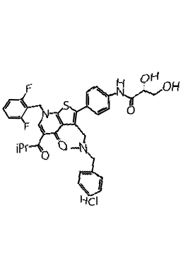 CC(C)C(=O)c1cn(Cc2c(F)cccc2F)c2sc(-c3ccc(NC(=O)[C@H](O)CO)cc3)c(CN(C)Cc3ccccc3)c2c1=O.Cl